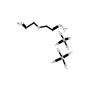 C=CCOCC=C.O=S(=O)([O-])[O-].O=S(=O)([O-])[O-].[C+4]